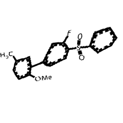 COc1ccc(C)cc1-c1ccc(S(=O)(=O)c2ccccc2)c(F)c1